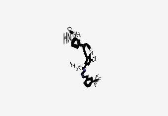 C/C(=C\C=C/Cc1cccc(C(F)(F)F)c1)c1cc(Cl)c2c(c1)CC(c1ccc3[nH]c(=O)[nH]c3c1)C=C=N2